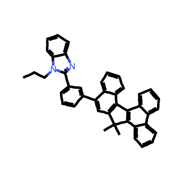 CCCn1c(-c2cccc(-c3cc4c(c5ccccc35)-c3c(c5ccccc5c5ccccc35)C4(C)C)c2)nc2ccccc21